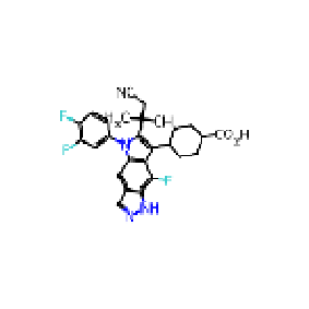 CC(C)(CC#N)c1c(C2CCC(C(=O)O)CC2)c2c(F)c3[nH]ncc3cc2n1-c1ccc(F)c(F)c1